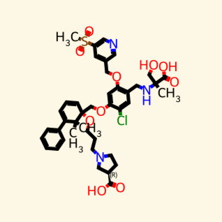 CC(CO)(NCc1cc(Cl)c(OCC2(OCCCN3CC[C@@H](C(=O)O)C3)C=CC=C(c3ccccc3)C2(C)C)cc1OCc1cncc(S(C)(=O)=O)c1)C(=O)O